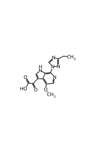 CCc1ncn(-c2ncc(OC)c3c(C(=O)C(=O)O)c[nH]c23)n1